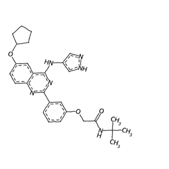 CC(C)(C)NC(=O)COc1cccc(-c2nc(Nc3cn[nH]c3)c3cc(OC4CCCC4)ccc3n2)c1